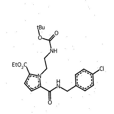 CCOC(=O)c1ccc(C(=O)NCc2ccc(Cl)cc2)n1CCNC(=O)OC(C)(C)C